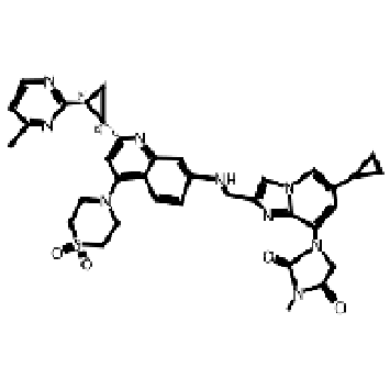 Cc1ccnc([C@H]2C[C@@H]2c2cc(N3CCS(=O)(=O)CC3)c3ccc(NCc4cn5cc(C6CC6)cc(N6CC(=O)N(C)C6=O)c5n4)cc3n2)n1